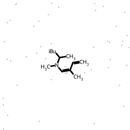 C=C/C(C)=C\N(C)C(C)C(C)CC